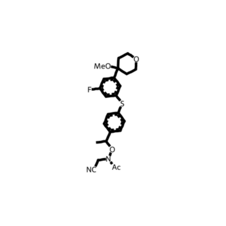 COC1(c2cc(F)cc(Sc3ccc(C(C)ON(CC#N)C(C)=O)cc3)c2)CCOCC1